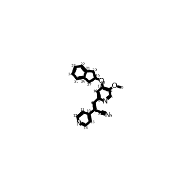 COc1cnc(/C=C(\C#N)c2ccncc2)cc1OC1Cc2ccccc2C1